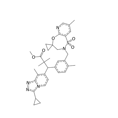 COC(=O)C(C)(C)C(c1ccc(C)c(CN2CC3(CC3)Oc3ncc(C)cc3S2(=O)=O)c1)c1ccn2c(C3CC3)nnc2c1C